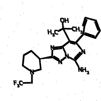 CC(C)(O)c1c(-c2ccccc2)nc(N)n2nc([C@@H]3CCCN(CC(F)(F)F)C3)nc12